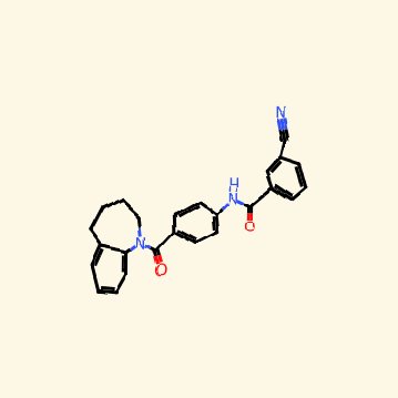 N#Cc1cccc(C(=O)Nc2ccc(C(=O)N3CCCCc4ccccc43)cc2)c1